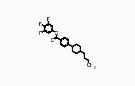 CCCCC1CCC(c2ccc(C(=O)Oc3cc(F)c(F)c(F)c3)cc2)CC1